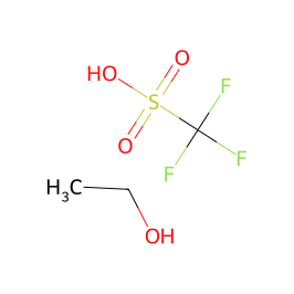 CCO.O=S(=O)(O)C(F)(F)F